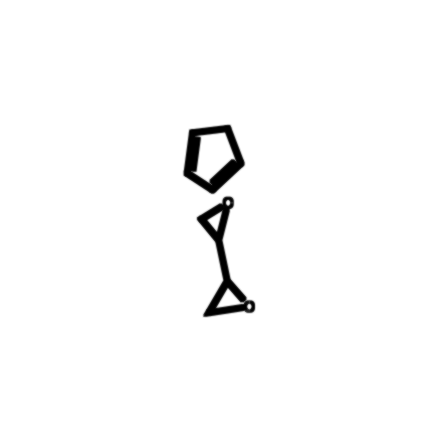 C1=CCC=C1.C1OC1C1CO1